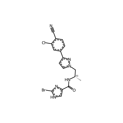 C[C@@H](Cn1ccc(-c2ccc(C#N)c(Cl)c2)n1)NC(=O)c1c[nH]c(Br)n1